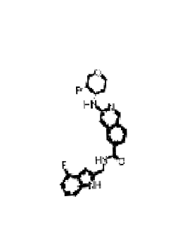 O=C(NCc1cc2c(F)cccc2[nH]1)c1ccc2cnc(N[C@H]3CCOC[C@H]3F)cc2c1